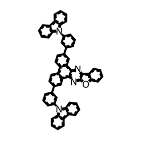 c1cc(-c2ccc3c4ccc(-c5cccc(-n6c7ccccc7c7ccccc76)c5)cc4c4nc5c(nc4c3c2)oc2ccccc25)cc(-n2c3ccccc3c3ccccc32)c1